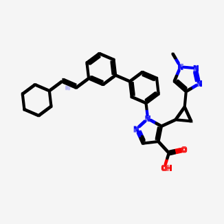 Cn1cc(C2CC2c2c(C(=O)O)cnn2-c2cccc(-c3cccc(/C=C/C4CCCCC4)c3)c2)nn1